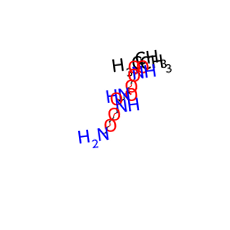 CC(C)(C)OC(=O)NOCCOCC(=O)NCC(=O)NCCOCCOCCN